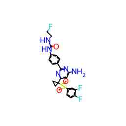 Nc1cc(C2(S(=O)(=O)c3ccc(F)c(F)c3)CC2)nc(-c2ccc(NC(=O)NCCF)cc2)n1